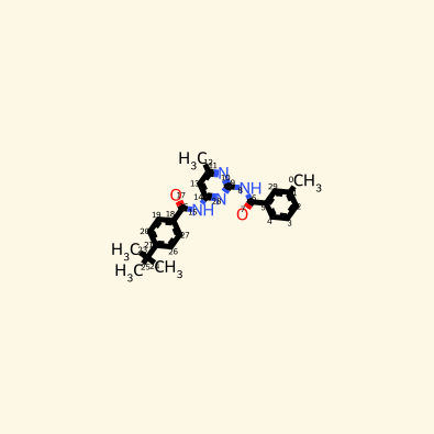 Cc1cccc(C(=O)Nc2nc(C)cc(NC(=O)c3ccc(C(C)(C)C)cc3)n2)c1